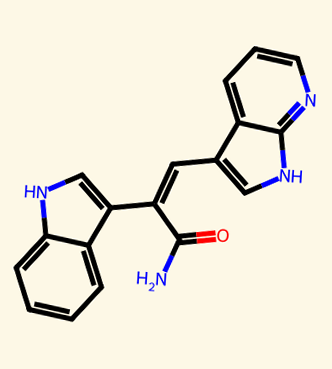 NC(=O)C(=Cc1c[nH]c2ncccc12)c1c[nH]c2ccccc12